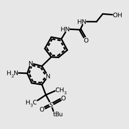 CC(C)(C)S(=O)(=O)C(C)(C)c1cc(N)nc(-c2ccc(NC(=O)NCCO)cc2)n1